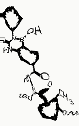 COc1cccc(C(=O)N(NC(=O)c2ccc3c(c2)NC(=S)N(c2ccccc2)B3O)C(C)(C)C)c1C